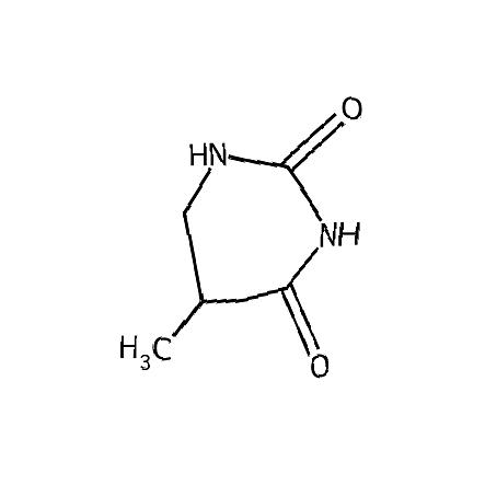 CC1CNC(=O)NC1=O